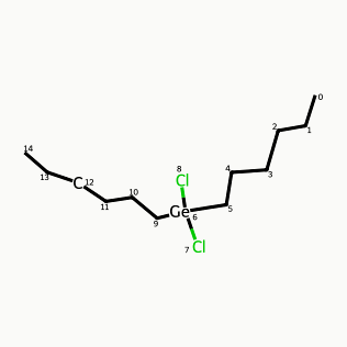 CCCCC[CH2][Ge]([Cl])([Cl])[CH2]CCCCC